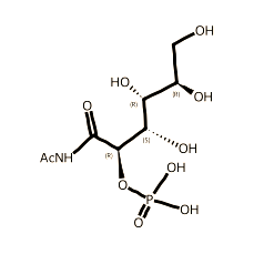 CC(=O)NC(=O)[C@H](OP(=O)(O)O)[C@@H](O)[C@H](O)[C@H](O)CO